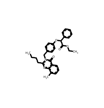 CCCCc1nc2c(C)cccc2c(=O)n1Cc1ccc(OC(C(=O)OCC)c2ccccc2)cc1